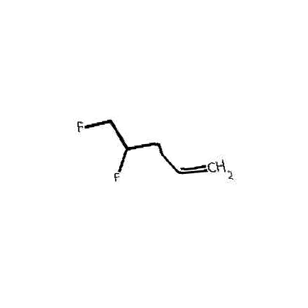 C=CCC(F)CF